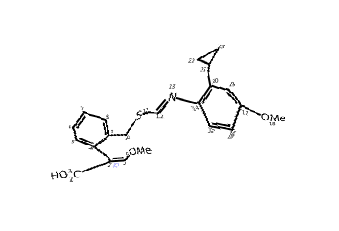 CO/C=C(/C(=O)O)c1ccccc1CSC=Nc1ccc(OC)cc1C1CC1